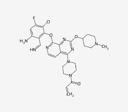 C=CC(=O)N1CCN(c2nc(OC3CCN(C)CC3)nc3c(Oc4c(Cl)c(F)cc(N)c4C=N)nccc23)CC1